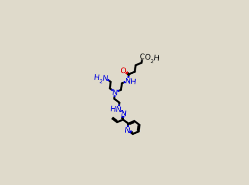 C=C/C(=N\NCCN(CCN)CCNC(=O)CCCC(=O)O)c1ccccn1